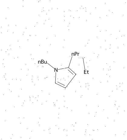 CCCCn1cccc1CCC.[CH2]CC